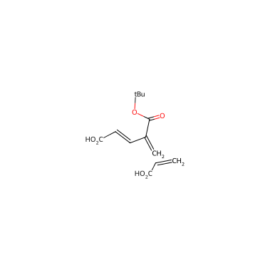 C=C(C=CC(=O)O)C(=O)OC(C)(C)C.C=CC(=O)O